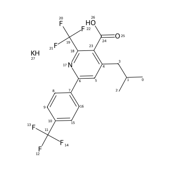 CC(C)Cc1cc(-c2ccc(C(F)(F)F)cc2)nc(C(F)(F)F)c1C(=O)O.[KH]